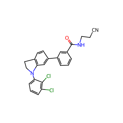 N#CCCNC(=O)c1cccc(-c2ccc3c(c2)N(c2cccc(Cl)c2Cl)CC3)c1